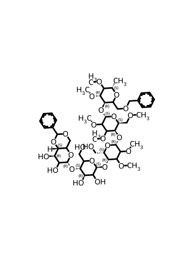 COC[C@@H]1O[C@@H](O[C@@H]2C(COCc3ccccc3)O[C@@H](C)C(OC)[C@H]2OC)C(OC)C(OC)[C@@H]1O[C@H]1O[C@@H](CO)[C@@H](O[C@@H]2OC(CO)[C@@H](O[C@H]3OC4COC(c5ccccc5)O[C@H]4[C@H](O)C3O)[C@H](O)C2O)C(OC)C1OC